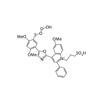 COc1ccc2c(c1)c(-c1ncc(-c3cc(SOOO)c(OC)cc3OC)o1)cc(-c1ccccc1)[n+]2CCCS(=O)(=O)O